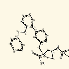 CS(=O)(=O)N[C@H]1CC[C@](Cc2cccc(-c3ccccc3OCc3ccccc3)c2)(C(N)=O)C1